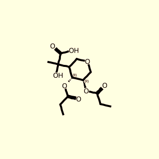 CCC(=O)O[C@@H]1C(C(C)(O)C(=O)O)COC[C@H]1OC(=O)CC